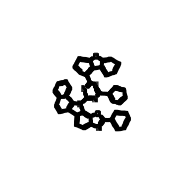 c1ccc(-c2nc(-c3cccc4oc5ccccc5c34)nc(-n3c4c5ccccc5ccc4c4ccc5nc(-c6ccccc6)oc5c43)n2)cc1